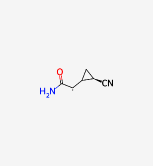 N#C[C@@H]1CC1[CH]C(N)=O